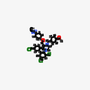 [C-]#[N+]c1ccc(OC[C@@H]2[C@H](c3ccc(Cl)cc3)N(c3ccc(Cl)cc3Cl)CCN2Cc2ccc(OC)cc2)cc1